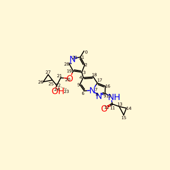 Cc1cc(-c2ccn3nc(NC(=O)C4CC4)cc3c2)c(OC[C@@](C)(O)C2CC2)cn1